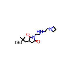 CC(C)(C)C(C)(C)CC1CC(=O)N(CCNCCN2CCC2)C1=O